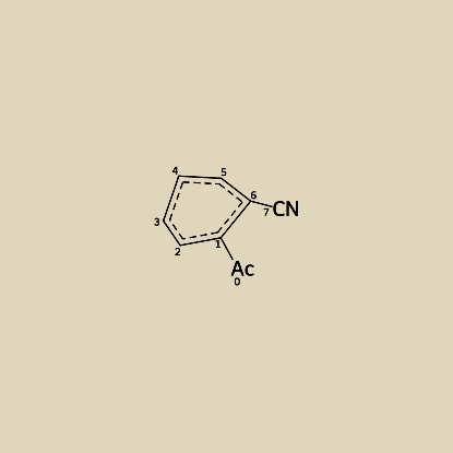 CC(=O)c1ccccc1C#N